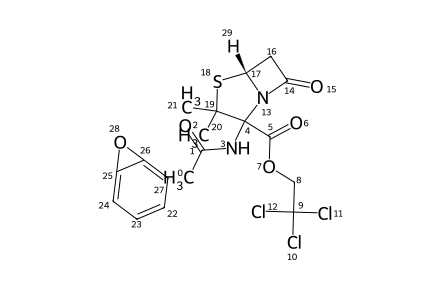 CC(=O)NC1(C(=O)OCC(Cl)(Cl)Cl)N2C(=O)C[C@H]2SC1(C)C.c1ccc2c(c1)O2